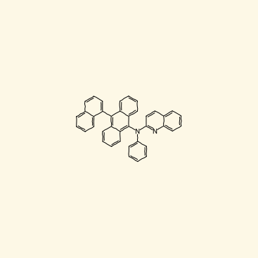 c1ccc(N(c2ccc3ccccc3n2)c2c3ccccc3c(-c3cccc4ccccc34)c3ccccc23)cc1